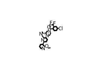 CCOc1ncccc1-c1ccc(N2CCN(C(=O)c3ccc(Cl)cc3C(F)(F)F)C[C@H]2CC)c(C#N)n1